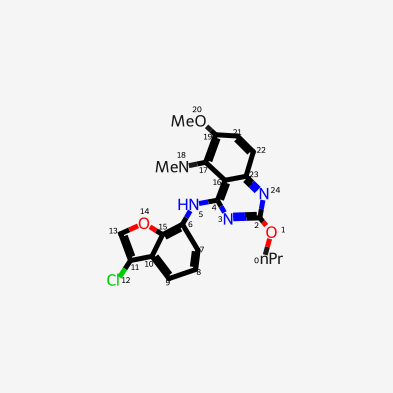 CCCOc1nc(Nc2cccc3c(Cl)coc23)c2c(NC)c(OC)ccc2n1